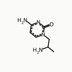 CC(N)Cn1ccc(N)nc1=O